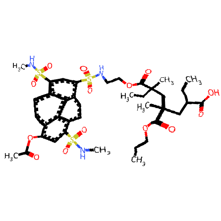 CCCOC(=O)C(C)(CC(CC)C(=O)O)CC(C)(CC)C(=O)OCCNS(=O)(=O)c1cc(S(=O)(=O)NC)c2ccc3c(OC(C)=O)cc(S(=O)(=O)NC)c4ccc1c2c34